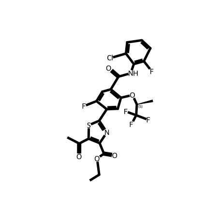 CCOC(=O)c1nc(-c2cc(O[C@@H](C)C(F)(F)F)c(C(=O)Nc3c(F)cccc3Cl)cc2F)sc1C(C)=O